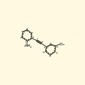 Nc1ccccc1C#Cc1cccc(Cl)c1